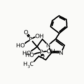 CCCc1ncc(-c2ccccc2)n1CC(O)(P(=O)(O)O)P(=O)(O)O